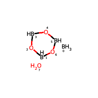 B.B1OBOBO1.O